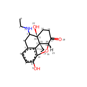 CCNC1Cc2ccc(O)c3c2[C@@]2(CC)[C@@H](O3)C(=O)CC[C@@]12O